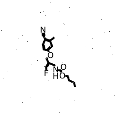 CCCCOC(=O)NC/C(=C\F)COc1ccc(C#N)c(C)c1